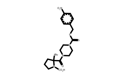 CC(C)(C)C1(C(=O)N2CCN(C(=S)SCc3ccc([N+](=O)[O-])cc3)CC2)CCCN1C(=O)O